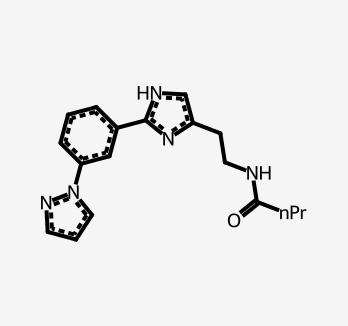 CCCC(=O)NCCc1c[nH]c(-c2cccc(-n3cccn3)c2)n1